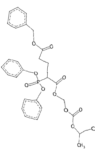 CC(C)OC(=O)OCOC(=O)C(CCC(=O)OCc1ccccc1)P(=O)(Oc1ccccc1)Oc1ccccc1